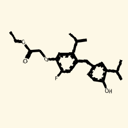 CCOC(=O)COc1cc(C(C)C)c(Cc2ccc(O)c(C(C)C)c2)cc1F